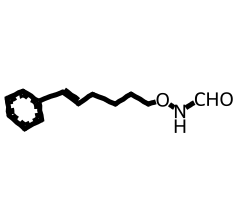 O=CNOCCCC/C=C/c1ccccc1